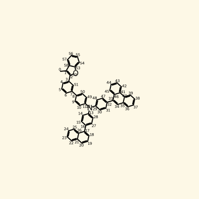 Cc1c(-c2cccc(-c3ccc(N(c4ccc(-c5cccc6ccccc56)cc4)c4ccc(-c5cc6ccccc6c6ccccc56)cc4)cc3)c2)oc2ccccc12